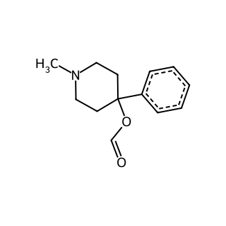 CN1CCC(OC=O)(c2ccccc2)CC1